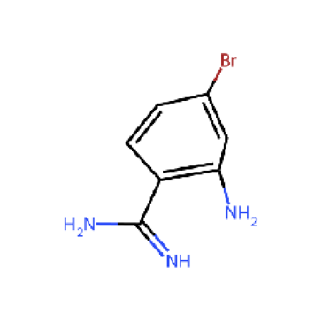 N=C(N)c1ccc(Br)cc1N